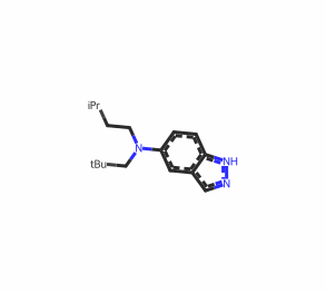 CC(C)CCN(CC(C)(C)C)c1ccc2[nH]ncc2c1